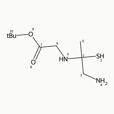 CC(S)(CN)NCC(=O)OC(C)(C)C